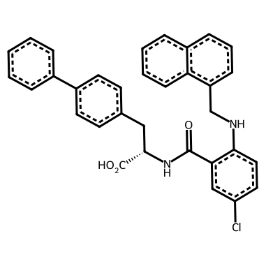 O=C(N[C@@H](Cc1ccc(-c2ccccc2)cc1)C(=O)O)c1cc(Cl)ccc1NCc1cccc2ccccc12